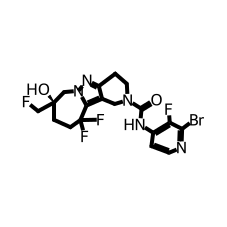 O=C(Nc1ccnc(Br)c1F)N1CCc2nn3c(c2C1)C(F)(F)CC[C@](O)(CF)C3